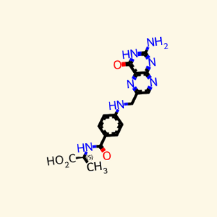 C[C@H](NC(=O)c1ccc(NCc2cnc3nc(N)[nH]c(=O)c3n2)cc1)C(=O)O